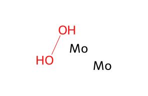 OO.[Mo].[Mo]